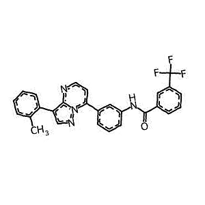 Cc1ccccc1-c1cnn2c(-c3cccc(NC(=O)c4cccc(C(F)(F)F)c4)c3)ccnc12